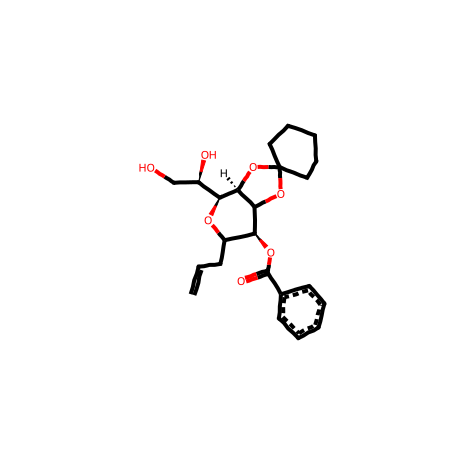 C=CCC1O[C@@H]([C@H](O)CO)[C@H]2OC3(CCCCC3)OC2[C@H]1OC(=O)c1ccccc1